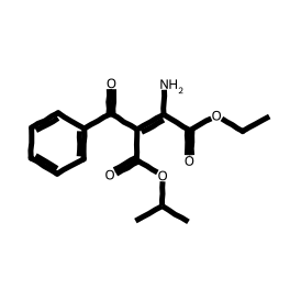 CCOC(=O)C(N)=C(C(=O)OC(C)C)C(=O)c1ccccc1